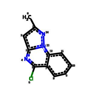 Cc1cc2nc(Cl)c3ccccc3n2n1